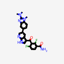 CN(C)c1nc2cc(-c3cnc4[nH]cc(C(=O)c5c(F)ccc(C(N)=O)c5F)c4c3)ccc2n1C